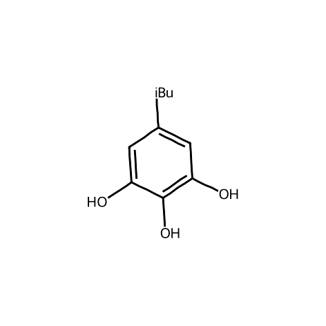 CCC(C)c1cc(O)c(O)c(O)c1